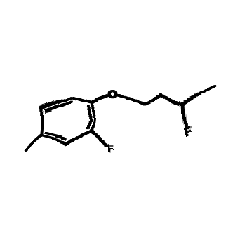 Cc1ccc(OCCC(C)F)c(F)c1